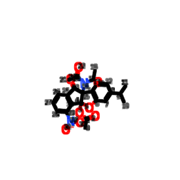 CC(=O)OC12Oc3cc(C(C)C)ccc3C1(N(C(C)=O)C(C)=O)C(=O)c1cccc([N+](=O)[O-])c12